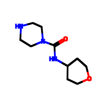 O=C(NC1CCOCC1)N1CCNCC1